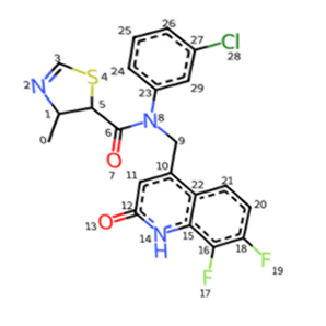 CC1N=CSC1C(=O)N(Cc1cc(=O)[nH]c2c(F)c(F)ccc12)c1cccc(Cl)c1